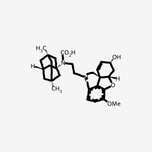 COc1ccc2c3c1O[C@H]1C[C@@H](O)C=C[C@@]31CCN(CCN(C(=O)O)[C@]13C[C@@H]4C[C@@](C)(C[C@@](C)(C4)C1)C3)C2